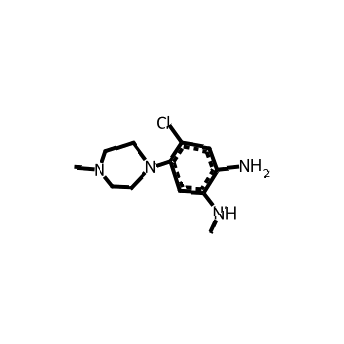 CNc1cc(N2CCN(C)CC2)c(Cl)cc1N